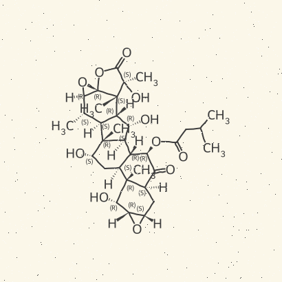 CC(C)CC(=O)O[C@H]1C(=O)[C@H]2C[C@@H]3O[C@@H]3[C@H](O)[C@]2(C)[C@H]2C[C@H](O)[C@@]3(C)[C@@H]([C@@H](O)[C@@H]4[C@@H]3[C@H](C)[C@H]3O[C@]35OC(=O)[C@@](C)(O)[C@]45C)[C@H]12